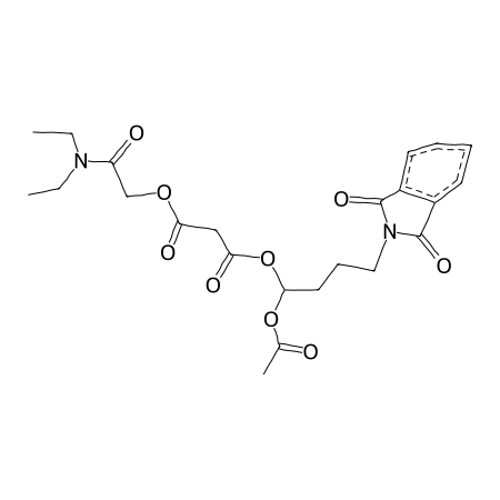 CCN(CC)C(=O)COC(=O)CC(=O)OC(CCCN1C(=O)c2ccccc2C1=O)OC(C)=O